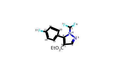 CCOC(=O)c1cnn(C(F)F)c1-c1ccc(F)cc1